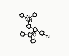 N#Cc1ccc(-c2ccc(-c3cccc(-c4nc(-c5ccccc5)nc(-c5ccccc5)n4)c3)c3c2oc2c(-c4ccccc4)cc(-c4ccccc4)cc23)cc1